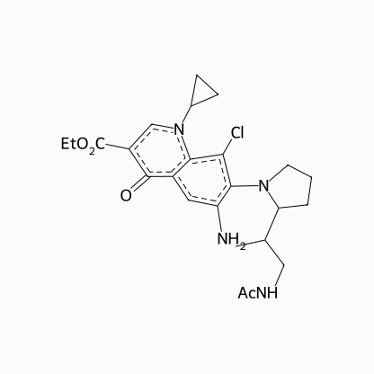 CCOC(=O)c1cn(C2CC2)c2c(Cl)c(N3CCCC3C(C)CNC(C)=O)c(N)cc2c1=O